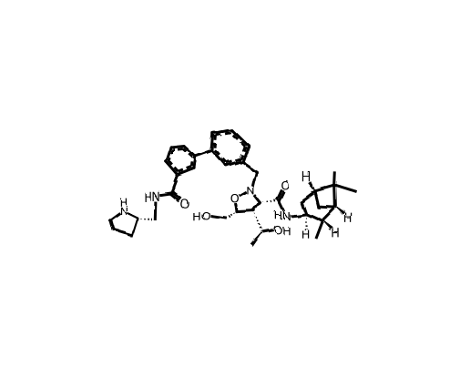 C[C@@H]1[C@@H](NC(=O)[C@@H]2[C@H]([C@H](C)O)[C@H](CO)ON2Cc2cccc(-c3cccc(C(=O)NC[C@@H]4CCCN4)c3)c2)C[C@H]2C[C@@H]1C2(C)C